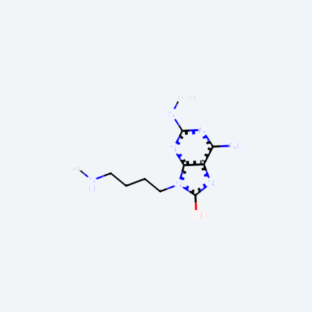 CCCCNc1nc(N)c2nc(O)n(CCCCNC(C)(C)C)c2n1